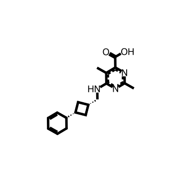 Cc1nc(NC[C@H]2C[C@@H](C3C=CC=CC3)C2)c(C)c(C(=O)O)n1